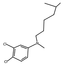 CC(C)CCCCN(C)c1ccc(Cl)c(Cl)c1